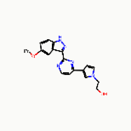 CC(C)Oc1ccc2[nH]nc(-c3nccc(-c4ccn(CCO)c4)n3)c2c1